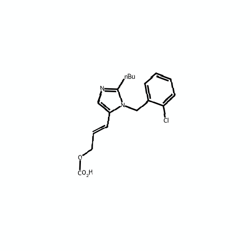 CCCCc1ncc(C=CCOC(=O)O)n1Cc1ccccc1Cl